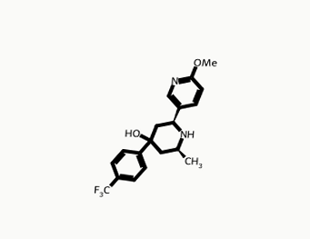 COc1ccc([C@@H]2CC(O)(c3ccc(C(F)(F)F)cc3)C[C@H](C)N2)cn1